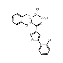 O=C(N[C@H](Cc1ccccc1Cl)[C@@H](O)C(=O)O)c1cc(-c2ccccc2Cl)[nH]n1